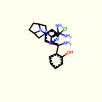 NC(N)=C(/C=C(\N)c1ccccc1O)N1CC2CCC(C1)N2c1cnnc(Cl)c1